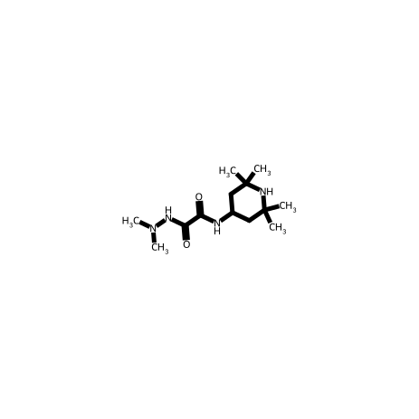 CN(C)NC(=O)C(=O)NC1CC(C)(C)NC(C)(C)C1